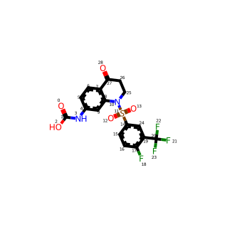 O=C(O)Nc1ccc2c(c1)N(S(=O)(=O)c1ccc(F)c(C(F)(F)F)c1)CCC2=O